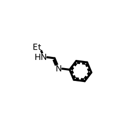 CCNC=Nc1ccccc1